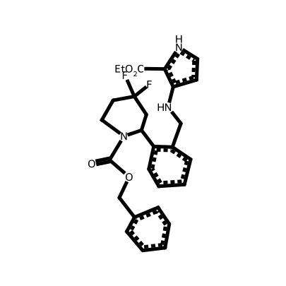 CCOC(=O)c1[nH]ccc1NCc1ccccc1C1CC(F)(F)CCN1C(=O)OCc1ccccc1